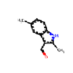 Cc1ccc2[nH]c(C)c(C=O)c2c1